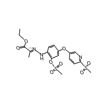 CCOC(=O)/C(C)=N/Nc1ccc(Oc2ccc(S(C)(=O)=O)nc2)cc1OS(C)(=O)=O